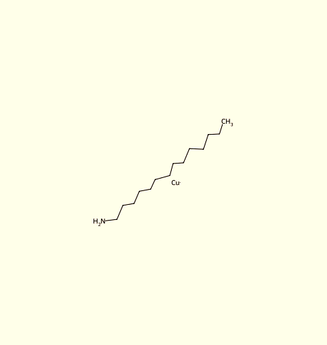 CCCCCCCCCCCCCCN.[Cu]